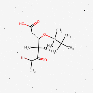 CC(Br)C(=O)C(C)(C)[C@H](CC(=O)O)O[Si](C)(C)C(C)(C)C